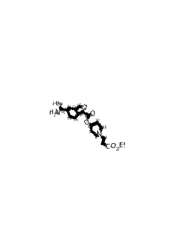 CCOC(=O)CCN1CCC(OC(=O)c2occ3cc(C(=N)N)ccc23)CC1